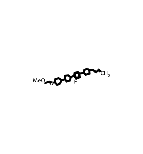 C=CCCC1CCC(c2ccc(C3CCC(C4CCC(OCCOC)CC4)CC3)c(F)c2)CC1